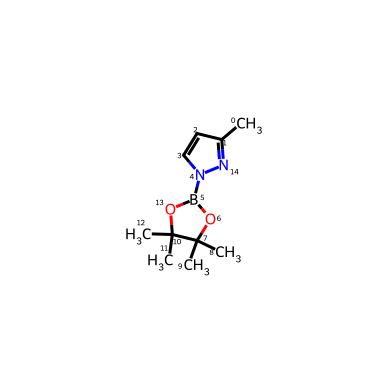 Cc1ccn(B2OC(C)(C)C(C)(C)O2)n1